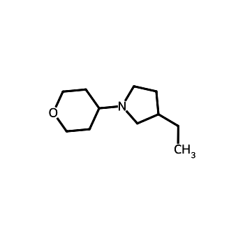 CCC1CCN(C2CCOCC2)C1